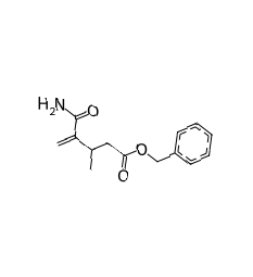 C=C(C(N)=O)C(C)CC(=O)OCc1ccccc1